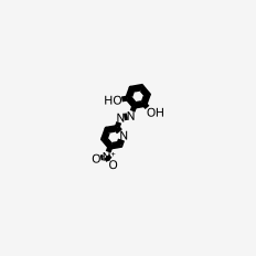 O=[N+]([O-])c1ccc(N=Nc2c(O)cccc2O)nc1